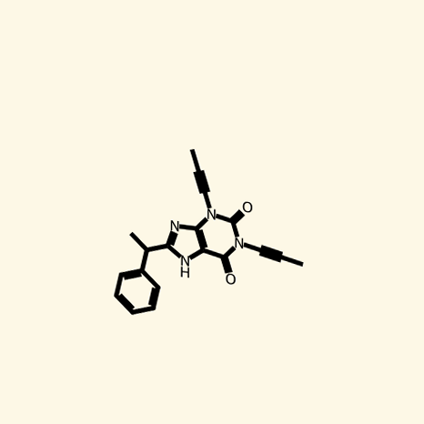 CC#Cn1c(=O)c2[nH]c(C(C)c3ccccc3)nc2n(C#CC)c1=O